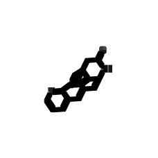 O=C1CC23CC=CC=C2C(=Cc2cc4cccnc4cc23)N1